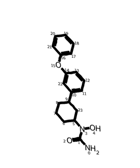 NC(=O)N(O)C1CCCC(c2cccc(Oc3ccccc3)c2)C1